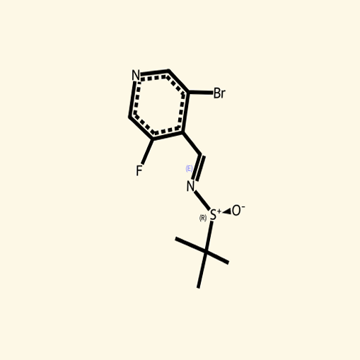 CC(C)(C)[S@+]([O-])/N=C/c1c(F)cncc1Br